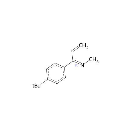 C=C/C(=N\C)c1ccc(C(C)(C)C)cc1